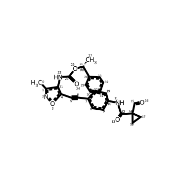 Cc1noc(C#Cc2ccc(NC(=O)C3(C=O)CC3)cc2)c1NC(=O)O[C@H](C)c1ccccc1